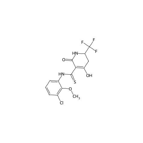 COc1c(Cl)cccc1NC(=S)C1=C(O)CC(C(F)(F)F)NC1=O